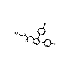 CCOC(=O)Cn1ncc(-c2ccc(F)cc2)c1-c1ccc(F)cc1